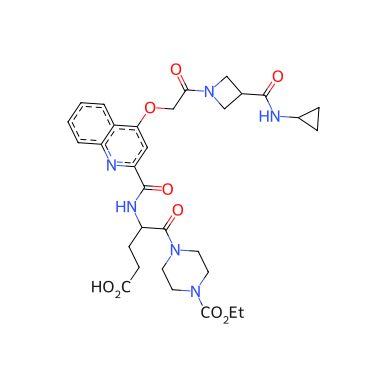 CCOC(=O)N1CCN(C(=O)C(CCC(=O)O)NC(=O)c2cc(OCC(=O)N3CC(C(=O)NC4CC4)C3)c3ccccc3n2)CC1